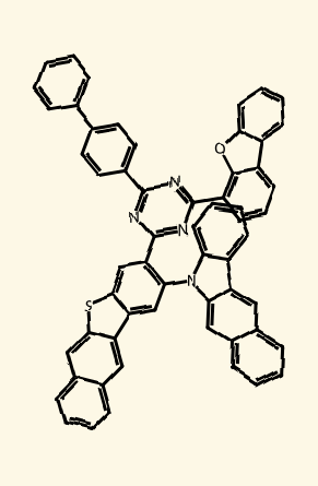 c1ccc(-c2ccc(-c3nc(-c4cc5sc6cc7ccccc7cc6c5cc4-n4c5ccccc5c5cc6ccccc6cc54)nc(-c4cccc5c4oc4ccccc45)n3)cc2)cc1